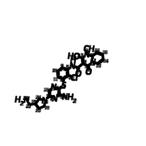 CN1C(O)=C(C(=O)Nc2cccc(Sc3ncc(N4CCC(CN)C4)nc3N)c2Cl)C(=O)N2C=CC=CC12